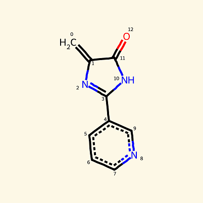 C=C1N=C(c2cccnc2)NC1=O